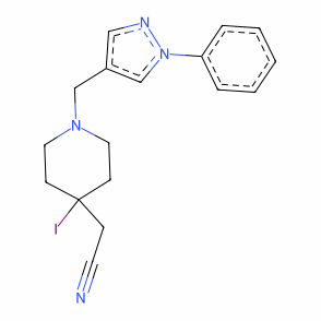 N#CCC1(I)CCN(Cc2cnn(-c3ccccc3)c2)CC1